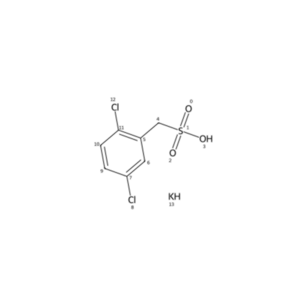 O=S(=O)(O)Cc1cc(Cl)ccc1Cl.[KH]